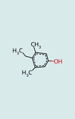 CCc1c(C)cc(O)cc1C